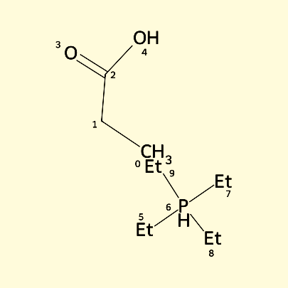 CCC(=O)O.CC[PH](CC)(CC)CC